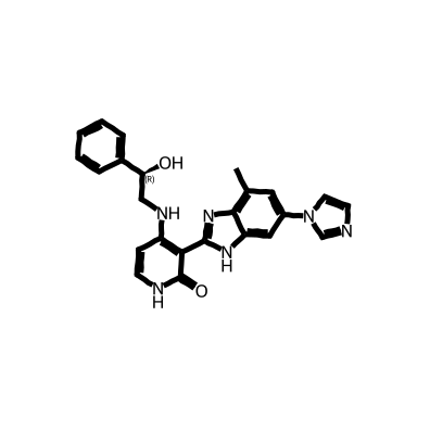 Cc1cc(-n2ccnc2)cc2[nH]c(-c3c(NC[C@H](O)c4ccccc4)cc[nH]c3=O)nc12